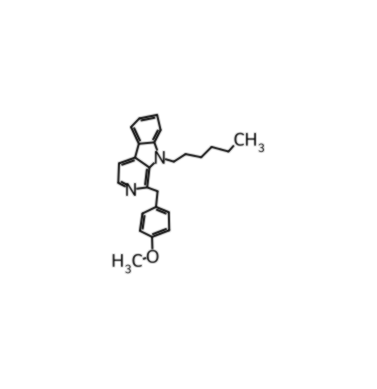 CCCCCCn1c2ccccc2c2ccnc(Cc3ccc(OC)cc3)c21